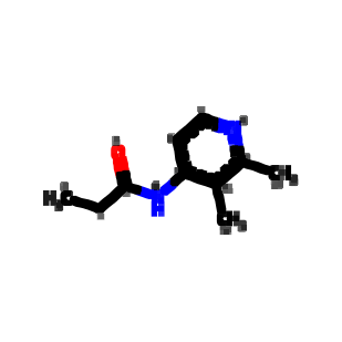 CCC(=O)Nc1ccnc(C)c1C